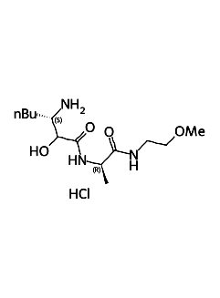 CCCC[C@H](N)C(O)C(=O)N[C@H](C)C(=O)NCCOC.Cl